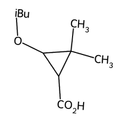 CCC(C)OC1C(C(=O)O)C1(C)C